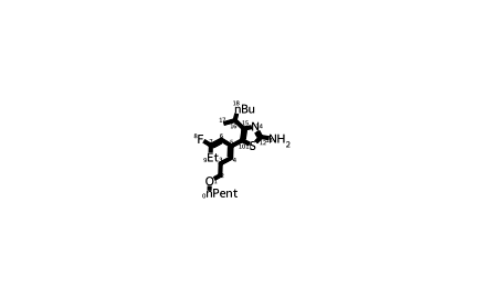 CCCCCOCC/C=C(\C=C(\F)CC)c1sc(N)nc1C(C)CCCC